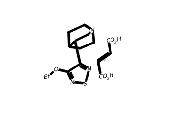 CCOc1nsnc1C1CN2CCC1CC2.O=C(O)/C=C/C(=O)O